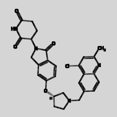 Cc1cc(Cl)c2cc(CN3CC[C@H](Oc4ccc5c(c4)CN(C4CCC(=O)NC4=O)C5=O)C3)ccc2n1